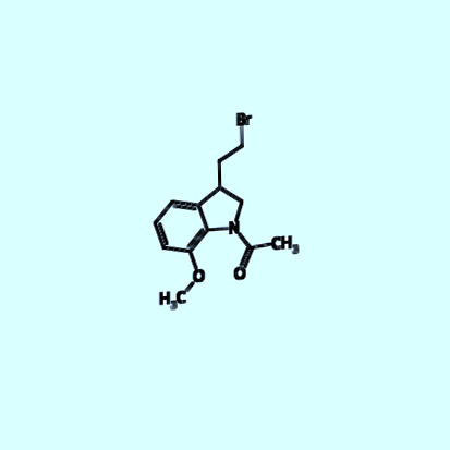 COc1cccc2c1N(C(C)=O)CC2CCBr